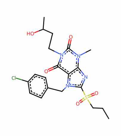 CCCS(=O)(=O)c1nc2c(c(=O)n(CCC(C)O)c(=O)n2C)n1Cc1ccc(Cl)cc1